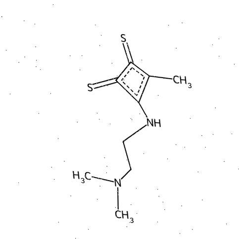 Cc1c(NCCN(C)C)c(=S)c1=S